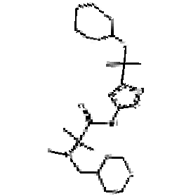 CN(CC1CCOCC1)C(C)(C)C(=O)Nc1cc(C(C)(C)OC2CCCCO2)no1